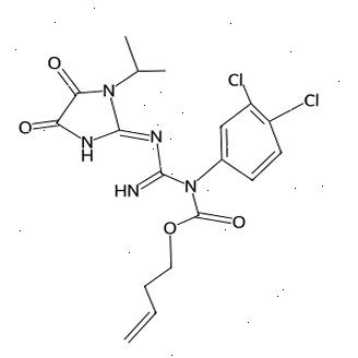 C=CCCOC(=O)N(C(=N)N=C1NC(=O)C(=O)N1C(C)C)c1ccc(Cl)c(Cl)c1